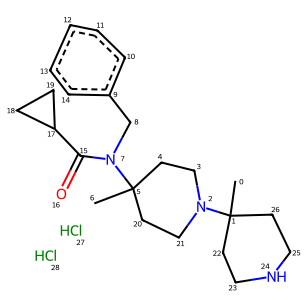 CC1(N2CCC(C)(N(Cc3ccccc3)C(=O)C3CC3)CC2)CCNCC1.Cl.Cl